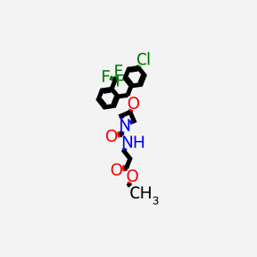 CCOC(=O)CCNC(=O)N1CC(OC(c2ccc(Cl)cc2)c2ccccc2C(F)(F)F)C1